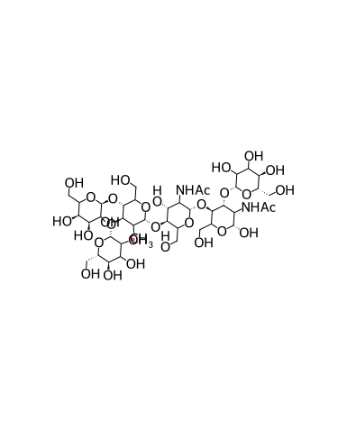 CC(=O)NC1[C@H](O[C@@H]2C(CO)O[C@@H](O)C(NC(C)=O)[C@H]2O[C@H]2O[C@@H](CO)[C@H](O)C(O)C2O)OC(CO)[C@@H](O[C@H]2OC(CO)[C@@H](O[C@@H]3OC(CO)[C@H](O)[C@H](O)C3O)[C@H](O[C@H]3O[C@@H](CO)[C@H](O)C(O)C3O)C2C)[C@@H]1O